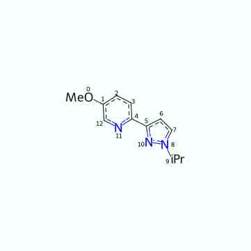 COc1ccc(-c2ccn(C(C)C)n2)nc1